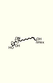 CCCCCC[C@@H](O)C/C=C\CCCCCCCC(=O)O[C@H](CO)[C@H]1OC[C@H](O)[C@H]1O